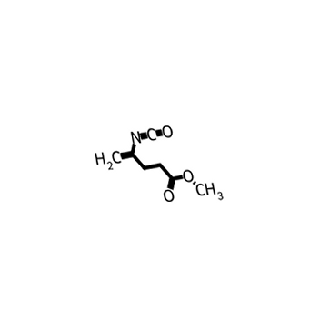 C=C(CCC(=O)OC)N=C=O